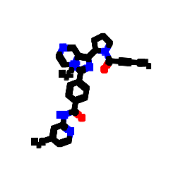 CC#CC(=O)N1CCCC1C1=C2C=NC=C[N+]2(C)C(c2ccc(C(=O)Nc3cc(C)ccn3)cc2)=N1